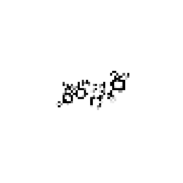 CC1(C)CN(C(=O)[C@H]2CCCC[C@H]2NC(=O)c2cccc(C(=O)O)c2)CC[C@]1(O)c1ccc(Cl)cc1